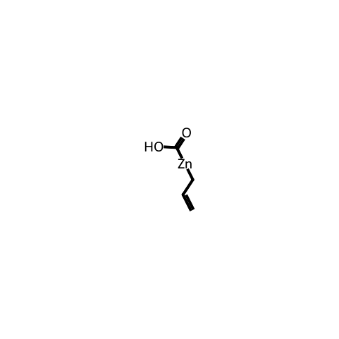 C=C[CH2][Zn][C](=O)O